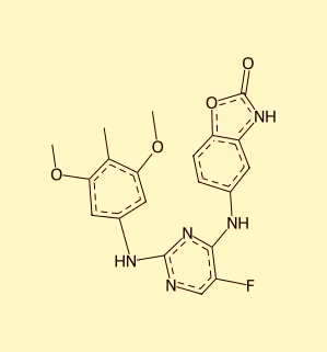 COc1cc(Nc2ncc(F)c(Nc3ccc4oc(=O)[nH]c4c3)n2)cc(OC)c1C